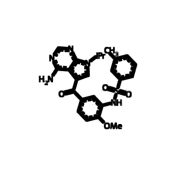 COc1ccc(C(=O)c2cn(C(C)C)c3ncnc(N)c23)cc1NS(=O)(=O)c1cccc(C)c1